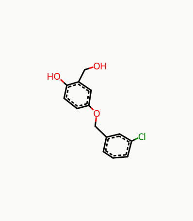 OCc1cc(OCc2cccc(Cl)c2)ccc1O